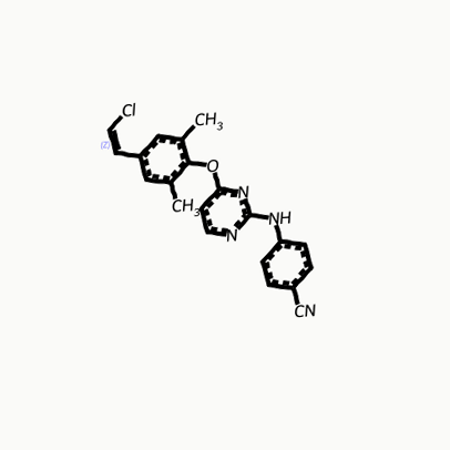 Cc1cc(/C=C\Cl)cc(C)c1Oc1ccnc(Nc2ccc(C#N)cc2)n1